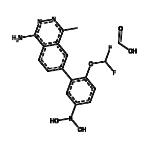 Cc1nnc(N)c2ccc(-c3cc(B(O)O)ccc3OC(F)F)cc12.O=CO